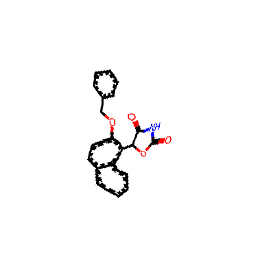 O=C1NC(=O)C(c2c(OCc3ccccc3)ccc3ccccc23)O1